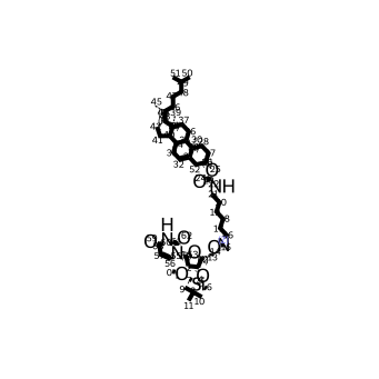 COC1C(O[Si](C)(C)C(C)(C)C)[C@@H](CO/N=C\CCCCCNC(=O)O[C@H]2CC[C@@]3(C)C(=CCC4C3CC[C@@]3(C)C4CC[C@@H]3[C@H](C)CCCC(C)C)C2)O[C@H]1n1ccc(=O)[nH]c1=O